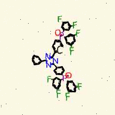 O=P(c1ccc(-c2nc(-c3ccccc3)nc(-c3ccc(P(=O)(c4cc(F)cc(F)c4)c4cc(F)cc(F)c4)cc3)n2)cc1)(c1cc(F)cc(F)c1)c1cc(F)cc(F)c1